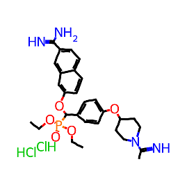 CCOP(=O)(OCC)C(Oc1ccc2ccc(C(=N)N)cc2c1)c1ccc(OC2CCN(C(C)=N)CC2)cc1.Cl.Cl